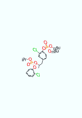 CCCCOP(=O)(OCCCC)Oc1ccc(CC(C)OP(=O)(Oc2ccccc2Cl)OC(C)C)cc1Cl